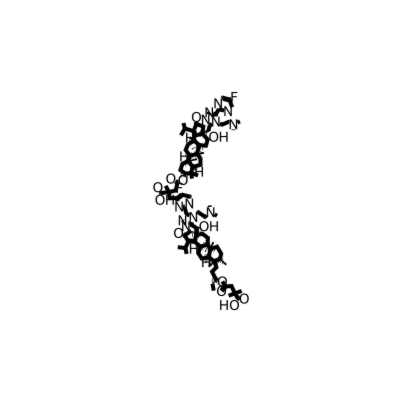 CC[C@H](CC[C@@]1(C)[C@H](C)CC[C@]2(C)[C@@H]1CC[C@@H]1C3=C(C(C)C)C(=O)C[C@]3([C@@H](O)c3nnc(-c4ncc(F)c(CC(C)(CC(=O)O[C@H]5CC[C@]6(C)[C@H]7CC[C@@H]8C9=C(C(C)C)C(=O)C[C@]9(C(O)c9nnc(-c%10ncc(F)cn%10)n9CCN(C)C)CC[C@@]8(C)[C@]7(C)CC[C@H]6C5(C)C)C(=O)O)n4)n3CCN(C)C)CC[C@]12C)OC(=O)CC(C)(C)C(=O)O